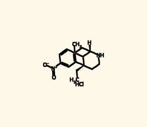 CCC1[C@@H]2Cc3ccc([N+](=O)[O-])cc3[C@@]1(CC)CCN2.Cl